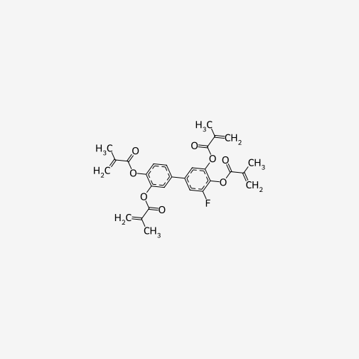 C=C(C)C(=O)Oc1ccc(-c2cc(F)c(OC(=O)C(=C)C)c(OC(=O)C(=C)C)c2)cc1OC(=O)C(=C)C